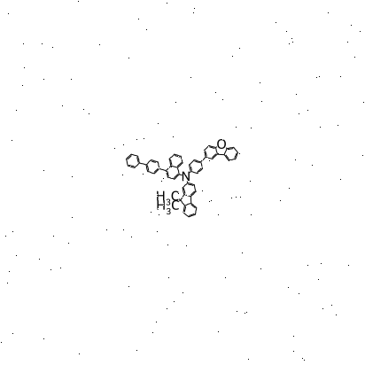 CC1(C)c2ccccc2-c2ccc(N(c3ccc(-c4ccc5oc6ccccc6c5c4)cc3)c3ccc(-c4ccc(-c5ccccc5)cc4)c4ccccc34)cc21